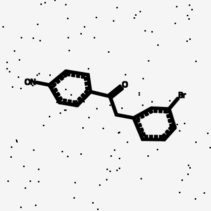 O=Nc1ccc(C(=O)Cc2cccc(Br)c2)cc1